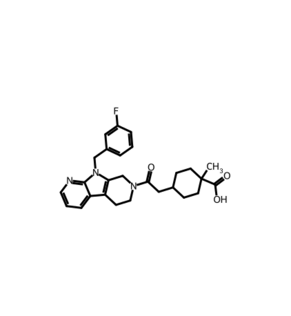 CC1(C(=O)O)CCC(CC(=O)N2CCc3c(n(Cc4cccc(F)c4)c4ncccc34)C2)CC1